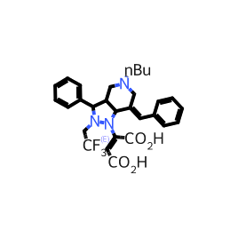 CCCCN1CC(=Cc2ccccc2)C2C(C1)C(c1ccccc1)N(CC(F)(F)F)N2/C(=C/C(=O)O)C(=O)O